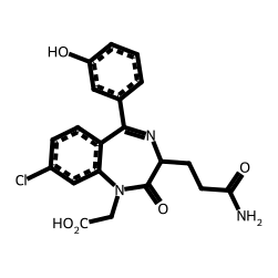 NC(=O)CCC1N=C(c2cccc(O)c2)c2ccc(Cl)cc2N(CC(=O)O)C1=O